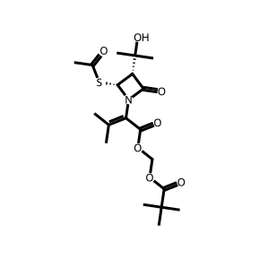 CC(=O)S[C@@H]1[C@H](C(C)(C)O)C(=O)N1C(C(=O)OCOC(=O)C(C)(C)C)=C(C)C